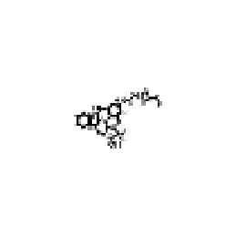 C[C@@H]1Cc2c([nH]c3ccccc23)[C@@H](c2c(F)cc(NCCN3CC(CF)C3)cc2F)N1C[C@](C)(F)CO